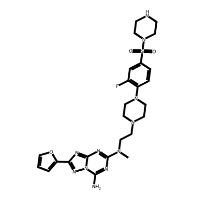 CN(CCN1CCN(c2ccc(S(=O)(=O)N3CCNCC3)cc2F)CC1)c1nc(N)n2nc(-c3ccco3)nc2n1